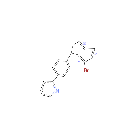 BrC1=C\C(c2ccc(-c3ccccn3)cc2)C/C=C/C=C\1